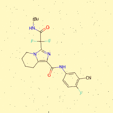 CC(C)(C)NC(=O)C(F)(F)c1nc(C(=O)Nc2ccc(F)c(C#N)c2)c2n1CCCC2